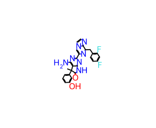 CC1(c2cccc(O)c2)C(=O)Nc2nc(-c3cn4ccnc4c(Cc4ccc(F)cc4F)n3)nc(N)c21